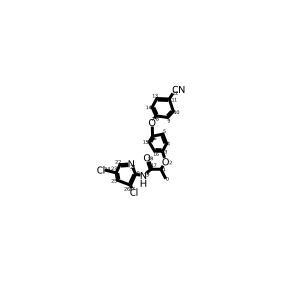 CC(Oc1ccc(Oc2ccc(C#N)cc2)cc1)C(=O)Nc1ncc(Cl)cc1Cl